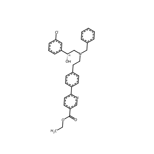 CCOC(=O)c1ccc(-c2ccc(CCN(Cc3ccccc3)C[C@H](O)c3cccc(Cl)c3)cc2)nc1